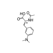 CC(=O)N[C@@H](Cc1cccc(N(C)C)c1)C(=O)O